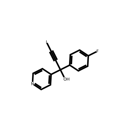 OC(C#CI)(c1ccncc1)c1ccc(F)cc1